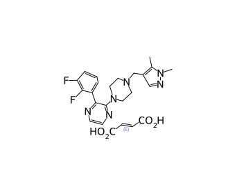 Cc1c(CN2CCN(c3nccnc3-c3cccc(F)c3F)CC2)cnn1C.O=C(O)/C=C/C(=O)O